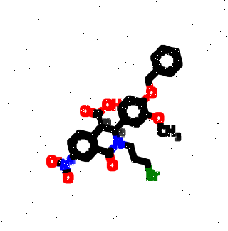 COc1cc([C@@H]2[C@H](C(=O)O)c3ccc([N+](=O)[O-])cc3C(=O)N2CCCBr)ccc1OCc1ccccc1